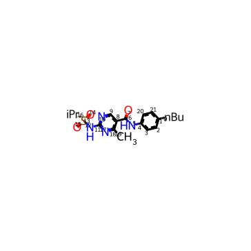 CCCCc1ccc(NC(=O)c2cnc(NS(=O)(=O)C(C)C)nc2C)cc1